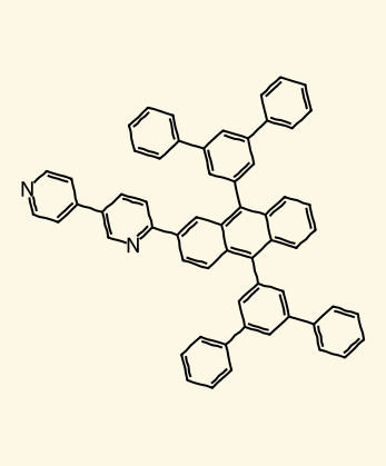 c1ccc(-c2cc(-c3ccccc3)cc(-c3c4ccccc4c(-c4cc(-c5ccccc5)cc(-c5ccccc5)c4)c4cc(-c5ccc(-c6ccncc6)cn5)ccc34)c2)cc1